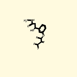 NNC(=O)CC(O)c1cccc(OC(F)C(F)C(F)F)c1